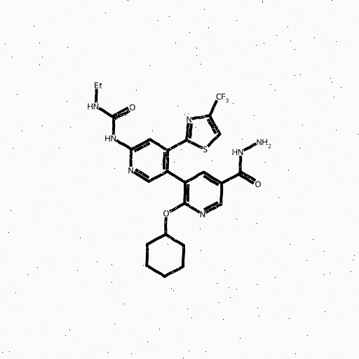 CCNC(=O)Nc1cc(-c2nc(C(F)(F)F)cs2)c(-c2cc(C(=O)NN)cnc2OC2CCCCC2)cn1